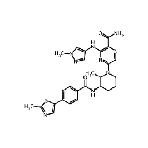 Cc1ncc(-c2ccc(C(=O)N[C@@H]3CCCN(c4cnc(C(N)=O)c(Nc5cnn(C)c5)n4)[C@@H]3C)cc2)s1